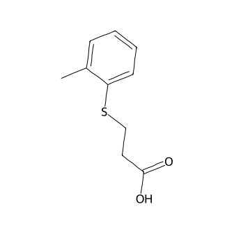 Cc1ccccc1SCCC(=O)O